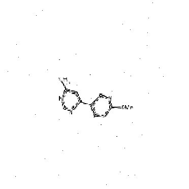 CSc1ccc(-c2cc(C)ncn2)cn1